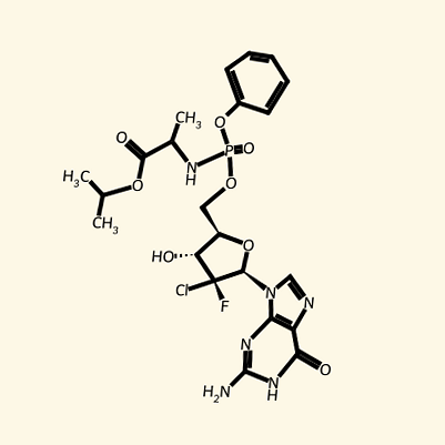 CC(C)OC(=O)C(C)NP(=O)(OC[C@H]1O[C@@H](n2cnc3c(=O)[nH]c(N)nc32)[C@](F)(Cl)[C@@H]1O)Oc1ccccc1